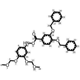 COCOc1ccc(NOC(=O)c2ccc(OCc3ccccc3)c(OCc3ccccc3)c2)cc1OCOC